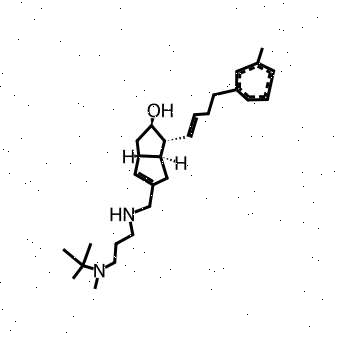 Cc1cccc(CC/C=C/[C@@H]2[C@H]3CC(CNCCCN(C)C(C)(C)C)=C[C@H]3C[C@H]2O)c1